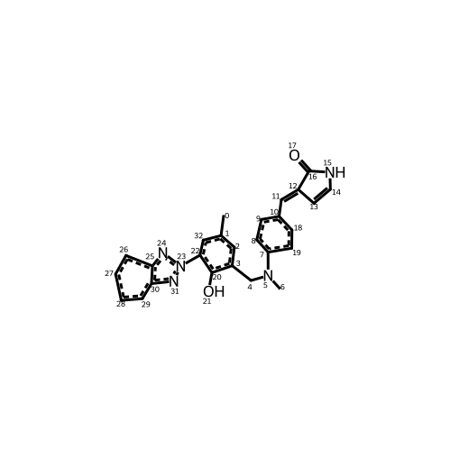 Cc1cc(CN(C)c2ccc(/C=C3\C=CNC3=O)cc2)c(O)c(-n2nc3ccccc3n2)c1